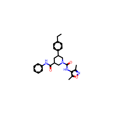 CCc1ccc(C2CC(C(=O)Nc3ccccc3)CN(C(=O)Nc3c(C)noc3C)C2)cc1